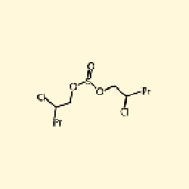 CC(C)C(Cl)COS(=O)OCC(Cl)C(C)C